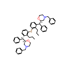 CCCc1c(Sc2cccc([C@@H](c3ccccc3)[C@@H]3CN(Cc4ccccc4)CCO3)c2CCC)cccc1C(c1ccccc1)[C@@H]1CN(Cc2ccccc2)CCO1